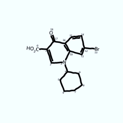 O=C(O)c1cn(C2CCCCC2)c2cc(Br)ccc2c1=O